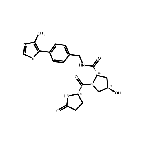 Cc1ncsc1-c1ccc(CNC(=O)[C@@H]2C[C@@H](O)CN2C(=O)[C@@H]2CCC(=O)N2)cc1